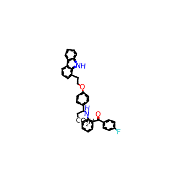 O=C(O)CC(Nc1ccccc1C(=O)c1ccc(F)cc1)c1ccc(OCCc2cccc3c2[nH]c2ccccc23)cc1